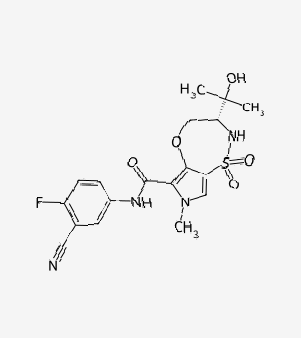 Cn1cc2c(c1C(=O)Nc1ccc(F)c(C#N)c1)OC[C@H](C(C)(C)O)NS2(=O)=O